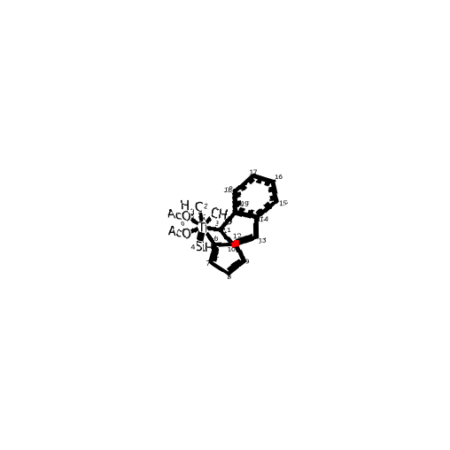 CC(=O)[O][Ti]([CH3])([CH3])(=[SiH2])([O]C(C)=O)([C]1=CC=CC1)[CH]1C=Cc2ccccc21